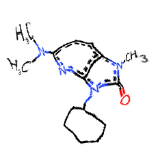 CN(C)c1ccc2c(n1)n(C1CCCCC1)c(=O)n2C